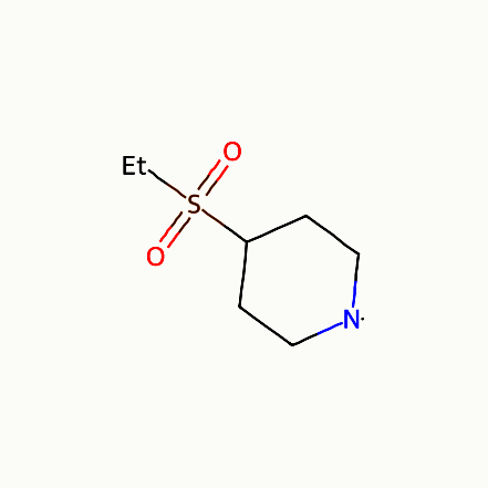 CCS(=O)(=O)C1CC[N]CC1